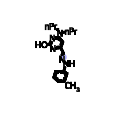 CCCN(CCC)c1cc(/C=N/Nc2cccc(C)c2)nc(O)n1